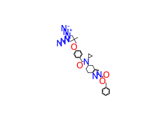 CC(CN=[N+]=[N-])(CN=[N+]=[N-])COc1ccc(C(=O)N(C2CC2)C2CCc3nn(C(=O)OCc4ccccc4)cc3C2)cc1